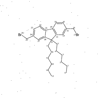 CCCCCCC1(CCCCCC)c2cc(CBr)ccc2-c2ccc(CBr)cc21